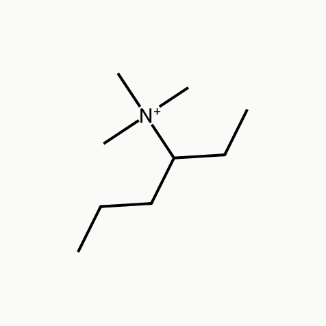 CCCC(CC)[N+](C)(C)C